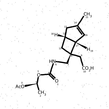 CC(=O)O[C@H](C)OC(=O)NC[C@@]1(CC(=O)O)C[C@@H]2CC(C)=C[C@@H]21